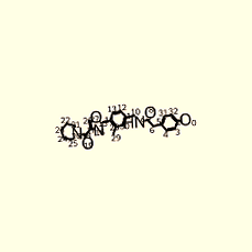 COc1ccc(CC(=O)NCc2ccc(-c3nc(C(=O)N4CCCCC4)co3)c(C)c2)cc1